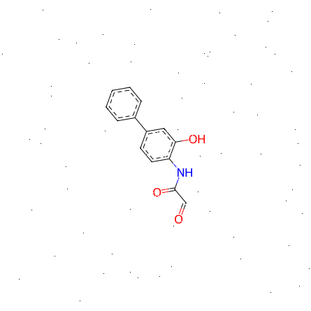 O=CC(=O)Nc1ccc(-c2ccccc2)cc1O